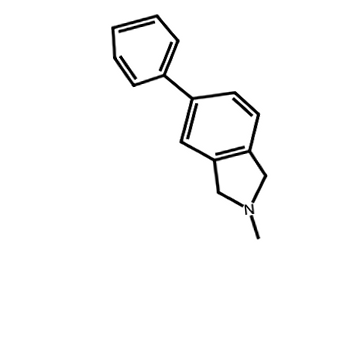 CN1Cc2ccc(-c3ccccc3)cc2C1